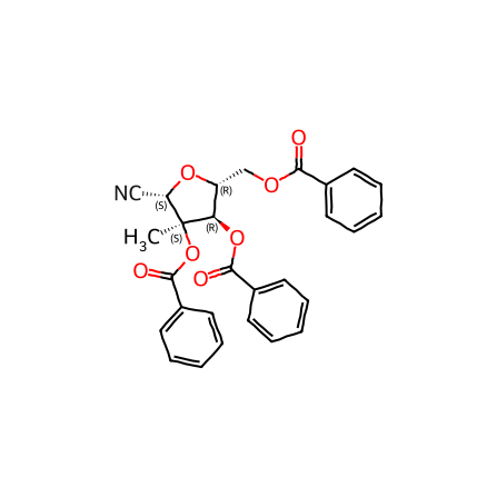 C[C@]1(OC(=O)c2ccccc2)[C@H](C#N)O[C@H](COC(=O)c2ccccc2)[C@H]1OC(=O)c1ccccc1